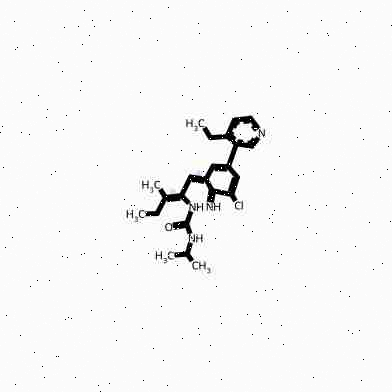 CC/C(C)=C(/C=C1/C=C(c2cnccc2CC)C=C(Cl)C1=N)NC(=O)NC(C)C